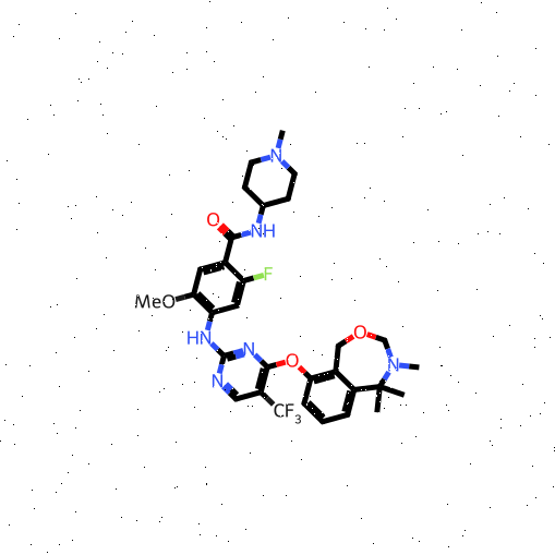 COc1cc(C(=O)NC2CCN(C)CC2)c(F)cc1Nc1ncc(C(F)(F)F)c(Oc2cccc3c2COCN(C)C3(C)C)n1